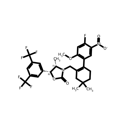 COc1cc(F)c([N+](=O)[O-])cc1C1=C(CN2C(=O)O[C@H](c3cc(C(F)(F)F)cc(C(F)(F)F)c3)[C@@H]2C)CC(C)(C)CC1